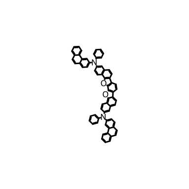 c1ccc(N(c2ccc3c(ccc4c5ccc6c7ccc8cc(N(c9ccccc9)c9ccc%10ccc%11ccccc%11c%10c9)ccc8c7oc6c5oc34)c2)c2ccc3ccc4ccccc4c3c2)cc1